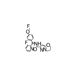 O=C(N[C@@H](c1ccc(OCF)cc1)c1ncccc1F)c1cc2n(n1)CCCO2